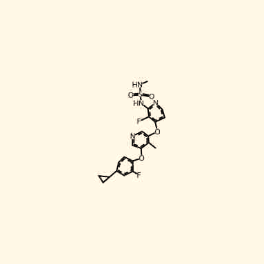 CNS(=O)(=O)Nc1nccc(Oc2cncc(Oc3ccc(C4CC4)cc3F)c2C)c1F